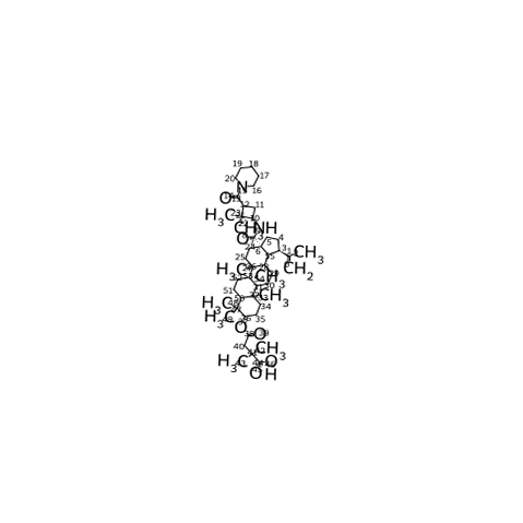 C=C(C)[C@@H]1CC[C@]2(C(=O)N[C@@H]3C[C@H](C(=O)N4CCCCC4)C3(C)C)CC[C@]3(C)C(CCC4C5(C)CC[C@H](OC(=O)CC(C)(C)C(=O)O)C(C)(C)C5CC[C@]43C)C12